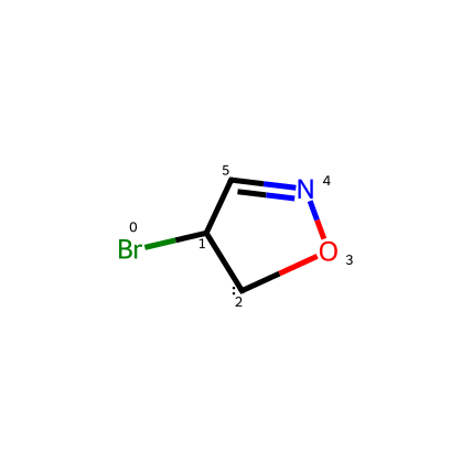 BrC1[C]ON=C1